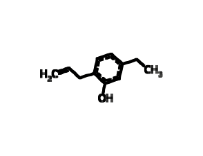 C=CCc1ccc(CC)cc1O